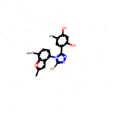 CCc1cc(-c2nnc(S)n2-c2ccc(OC)c3oc(C)cc23)c(O)cc1O